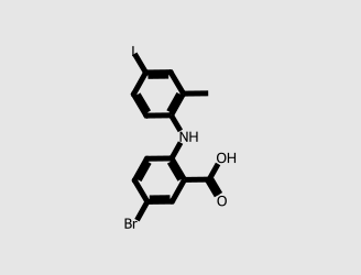 Cc1cc(I)ccc1Nc1ccc(Br)cc1C(=O)O